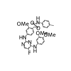 COc1ccc(Nc2nc(Nc3ccc(S(=O)(=O)Nc4ccc(C)cc4)c(OC)c3)ncc2F)cc1OC